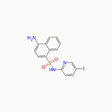 Nc1ccc(S(=O)(=O)Nc2ccc(I)cn2)c2ccccc12